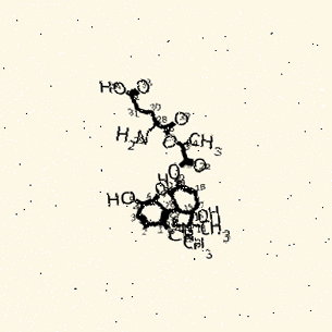 Cc1ccc(O)c2c1[C@]13CCN(C)[C@H](C)[C@]1(O)CC=C(OC(=O)[C@H](C)OC(=O)[C@@H](N)CCC(=O)O)[C@@H]3O2